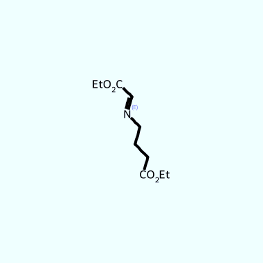 CCOC(=O)/C=N/CCCC(=O)OCC